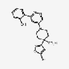 CC(C)c1cc(C2(C(=O)O)CCN(c3cnnc(-c4ccccc4O)c3)CC2)no1